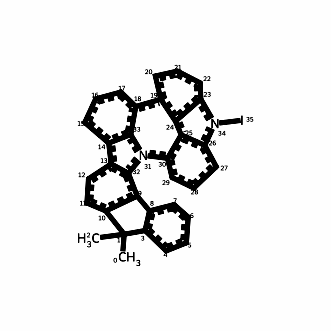 CC1(C)c2ccccc2-c2c1ccc1c3cccc4c5cccc6c5c5c(cccc5n(c21)c43)n6I